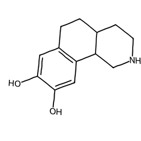 Oc1cc2c(cc1O)C1CNCCC1CC2